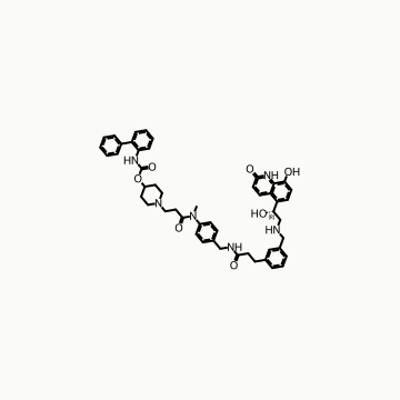 CN(C(=O)CCN1CCC(OC(=O)Nc2ccccc2-c2ccccc2)CC1)c1ccc(CNC(=O)CCc2cccc(CNC[C@H](O)c3ccc(O)c4[nH]c(=O)ccc34)c2)cc1